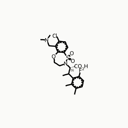 Cc1ccc(F)c(C(C)[C@@H](C(=O)O)N2CCOc3c(ccc(Cl)c3CN(C)C)S2(=O)=O)c1C